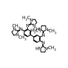 CN1CCN(C)C1=Nc1ccc(-c2ccc(/N=C3\NCCN3C)c(N=C3N(C)CCN3C)c2)cc1N=C1N(C)CCN1C